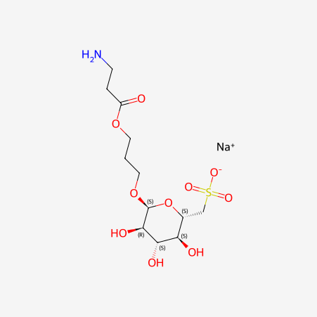 NCCC(=O)OCCCO[C@H]1O[C@H](CS(=O)(=O)[O-])[C@@H](O)[C@H](O)[C@H]1O.[Na+]